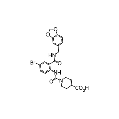 O=C(NCc1ccc2c(c1)OCO2)c1cc(Br)ccc1NC(=O)N1CCC(C(=O)O)CC1